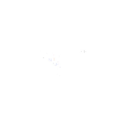 CCCCCCOP(N)(N)(Oc1ccccc1)Oc1ccccc1